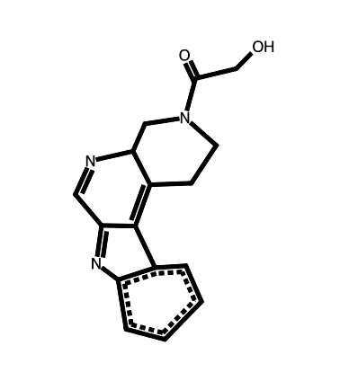 O=C(CO)N1CCC2=C3C(=Nc4ccccc43)C=NC2C1